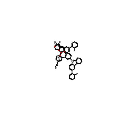 Cc1ccccc1-c1ccc2c(c1)c1ccccc1n2-c1ccc(-c2ccc(C(F)(F)F)cc2C#N)c(-c2cc(C#N)ccc2-n2c3ccccc3c3cc(-c4ccccc4C)ccc32)c1